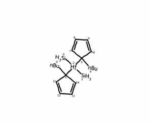 CCCC[C]1([Hf]([SiH3])([SiH3])[C]2(CCCC)C=CC=C2)C=CC=C1